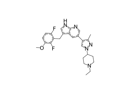 CCN1CCC(n2cc(-c3cnc4[nH]cc(Cc5c(F)ccc(OC)c5F)c4c3)c(C)n2)CC1